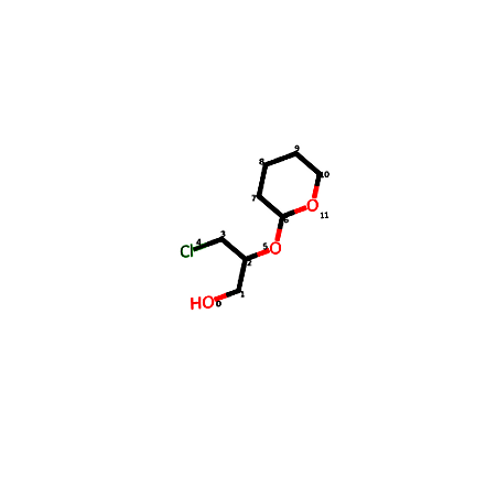 OCC(CCl)OC1CCCCO1